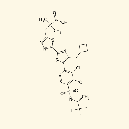 C[C@H](NS(=O)(=O)c1ccc(-c2sc(-c3nnc(CC(C)(C)C(=O)O)s3)nc2CC2CCC2)c(Cl)c1Cl)C(F)(F)F